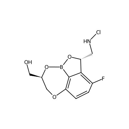 OC[C@@H]1COc2ccc(F)c3c2B(O1)O[C@@H]3CNCl